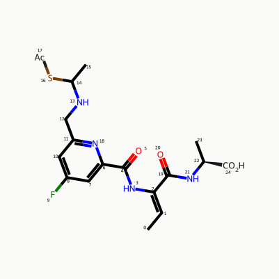 C/C=C(\NC(=O)c1cc(F)cc(CNC(C)SC(C)=O)n1)C(=O)N[C@@H](C)C(=O)O